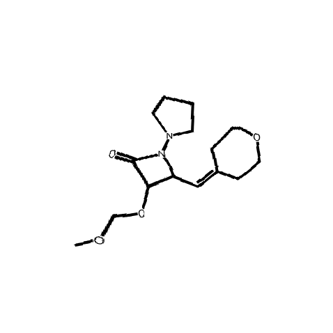 COCOC1C(=O)N(N2CCCC2)C1C=C1CCOCC1